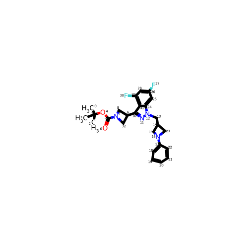 CC(C)(C)OC(=O)N1CC(c2nn(CC3CN(c4ccccc4)C3)c3cc(F)cc(F)c23)C1